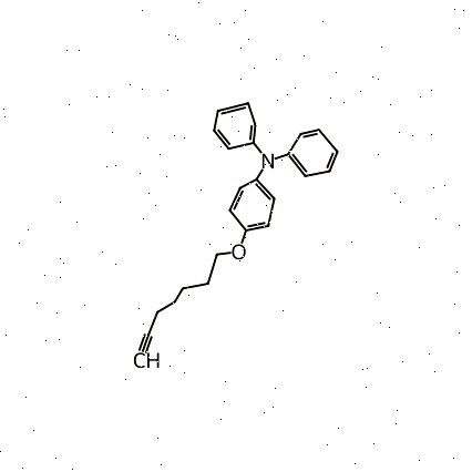 C#CCCCCCOc1ccc(N(c2ccccc2)c2ccccc2)cc1